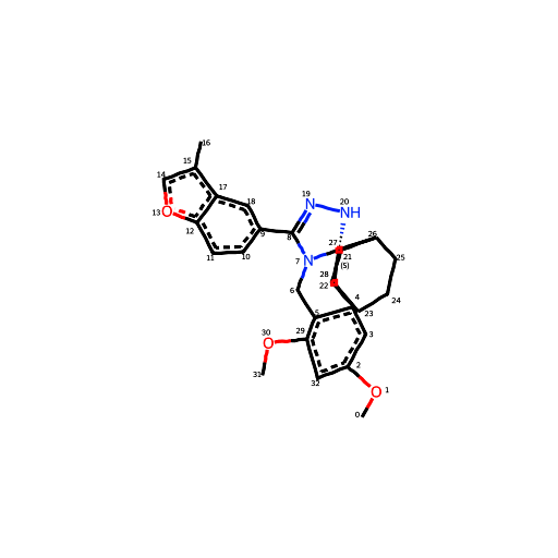 COc1ccc(CN2C(c3ccc4occ(C)c4c3)=NN[C@]23CC2CCC3CC2)c(OC)c1